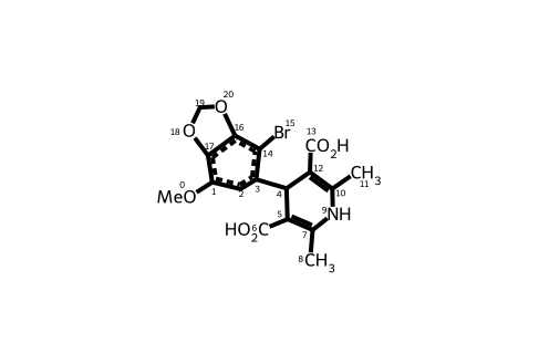 COc1cc(C2C(C(=O)O)=C(C)NC(C)=C2C(=O)O)c(Br)c2c1OCO2